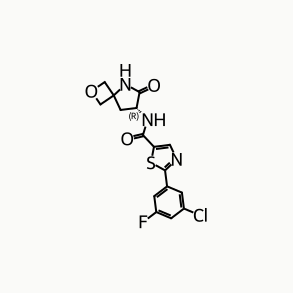 O=C(N[C@@H]1CC2(COC2)NC1=O)c1cnc(-c2cc(F)cc(Cl)c2)s1